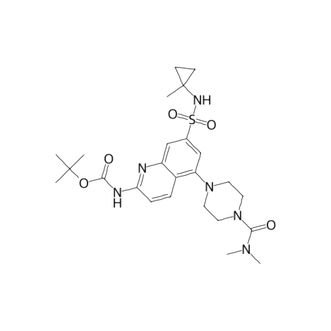 CN(C)C(=O)N1CCN(c2cc(S(=O)(=O)NC3(C)CC3)cc3nc(NC(=O)OC(C)(C)C)ccc23)CC1